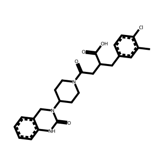 Cc1cc(CC(CC(=O)N2CCC(N3Cc4ccccc4NC3=O)CC2)C(=O)O)ccc1Cl